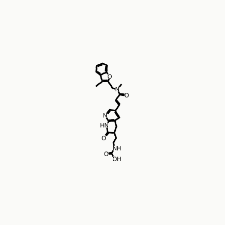 Cc1c(CN(C)C(=O)/C=C/c2cnc3c(c2)CC(CCNC(=O)O)C(=O)N3)oc2ccccc12